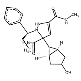 CC[C@@H](c1ccccc1)N1NC(C(=O)NC)=CC1(C(N)=O)C1[C@H]2CC(O)C[C@@H]12